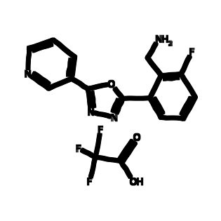 NCc1c(F)cccc1-c1nnc(-c2cccnc2)o1.O=C(O)C(F)(F)F